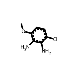 COc1ccc(Cl)c(N)c1N